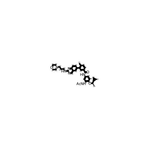 CC(=O)Nc1cc(NC(=O)c2ccc(C)c(-c3ccc4nc(NCCCN5CCOCC5)ncc4c3)c2)ccc1O[C@H](C)C1CC1